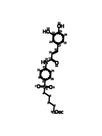 CCCCCCCCCCCCCCS(=O)(=O)c1ccc(NC(=O)C=Cc2ccc(O)c(O)c2)cc1